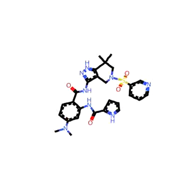 CN(C)c1ccc(C(=O)Nc2n[nH]c3c2CN(S(=O)(=O)c2cccnc2)CC3(C)C)c(NC(=O)c2ccc[nH]2)c1